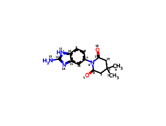 CC1(C)CC(=O)N(c2ccc3[nH]c(N)nc3c2)C(=O)C1